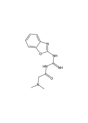 CN(C)CC(=O)NC(=N)Nc1nc2ccccc2o1